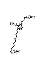 CCCCCCCCCCCCCCCCCCC[n+]1ccn(CCCCCCCCCCCCC)c1CCCC